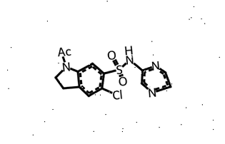 CC(=O)N1CCc2cc(Cl)c(S(=O)(=O)Nc3cnccn3)cc21